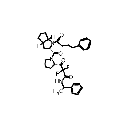 C[C@@H](NC(=O)C(F)(F)C(=O)[C@@H]1CCCN1C(=O)[C@@H]1C[C@@H]2CCC[C@@H]2N1C(=O)CCCc1ccccc1)c1ccccc1